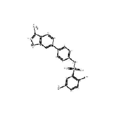 Nc1n[nH]c2cc(-c3ccc(NS(=O)(=O)c4cc(Cl)ccc4F)cc3)ccc12